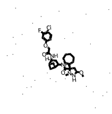 COC1CC(C(=O)NC2C[C@H](NC(=O)COc3ccc(Cl)c(F)c3)C3CC2C3)(C2CCCCCC2)N(C)N1